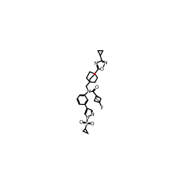 O=C(N(CC12CCC(c3nc(C4CC4)no3)(CC1)CC2)c1cccc(-c2cnn(S(=O)(=O)C3CC3)c2)c1)C12CC(F)(C1)C2